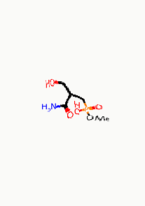 COP(=O)(O)CC(CO)C(N)=O